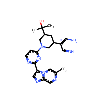 CC(C)(O)C1CC(/C(C=N)=C/N)CN(c2ccnc(-c3cnc4cnc(C(F)(F)F)cn34)n2)C1